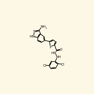 Nc1n[nH]c2ccc(-c3ccc(C(=O)NNc4cc(Cl)ccc4Cl)s3)cc12